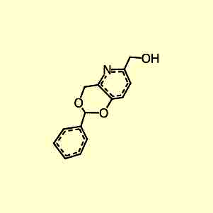 OCc1ccc2c(n1)COC(c1ccccc1)O2